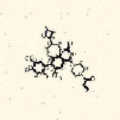 C=CC(=O)N1CCN(c2nc(=O)n3c4c(c(-c5cc(Cl)c(F)cc5F)c(C(F)(F)F)cc24)SCC(C2CCO2)C3)CC1